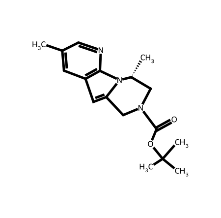 Cc1cnc2c(c1)cc1n2[C@H](C)CN(C(=O)OC(C)(C)C)C1